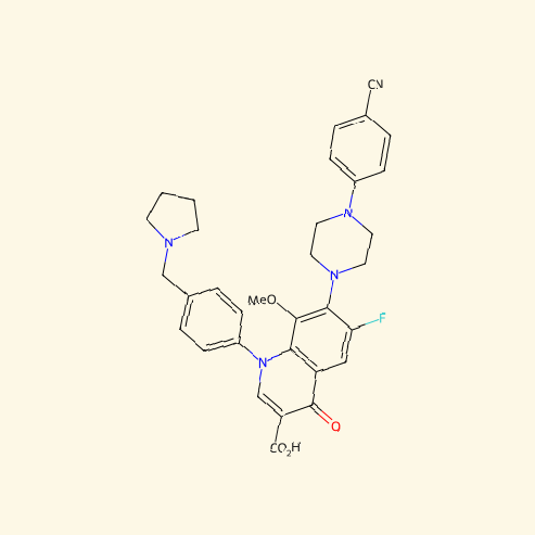 COc1c(N2CCN(c3ccc(C#N)cc3)CC2)c(F)cc2c(=O)c(C(=O)O)cn(-c3ccc(CN4CCCC4)cc3)c12